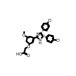 COC1=CC(C2=N[C@H](c3ccc(Cl)cc3)[C@H](c3ccc(Cl)cc3)N2)=CC(OCC(=O)O)C1